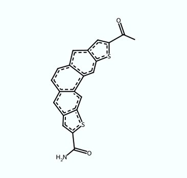 CC(=O)c1cc2cc3ccc4cc5cc(C(N)=O)sc5cc4c3cc2s1